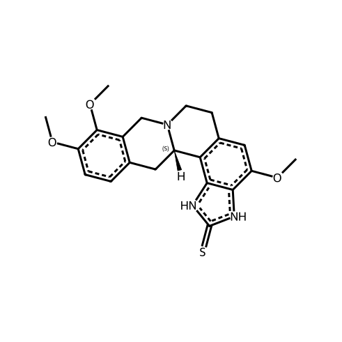 COc1ccc2c(c1OC)CN1CCc3cc(OC)c4[nH]c(=S)[nH]c4c3[C@@H]1C2